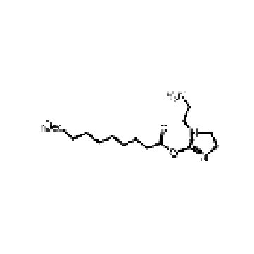 CCCCCCCCCCCCCCCCCC(=O)OC1=NCCN1CCN